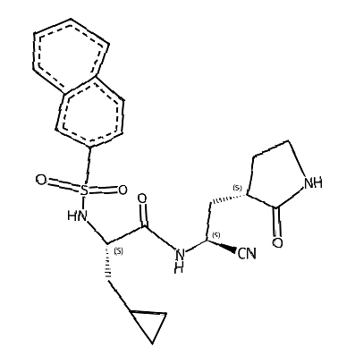 N#C[C@H](C[C@@H]1CCNC1=O)NC(=O)[C@H](CC1CC1)NS(=O)(=O)c1ccc2ccccc2c1